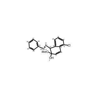 COC1(O)C=Cc2c(Cl)cccc2C1N=Nc1ccccc1